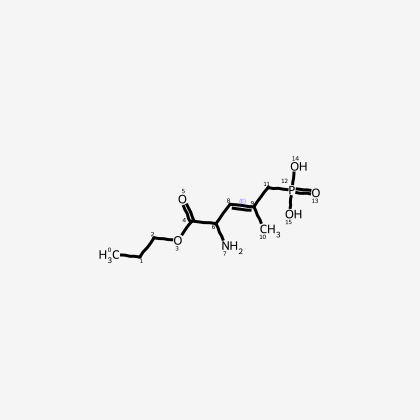 CCCOC(=O)C(N)/C=C(\C)CP(=O)(O)O